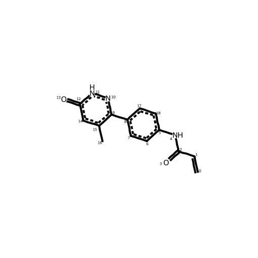 C=CC(=O)Nc1ccc(-c2n[nH]c(=O)cc2C)cc1